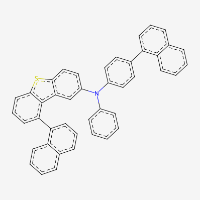 c1ccc(N(c2ccc(-c3cccc4ccccc34)cc2)c2ccc3sc4cccc(-c5cccc6ccccc56)c4c3c2)cc1